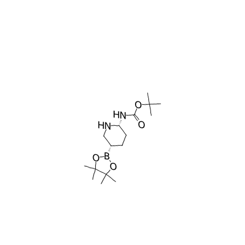 CC(C)(C)OC(=O)N[C@@H]1CC[C@H](B2OC(C)(C)C(C)(C)O2)CN1